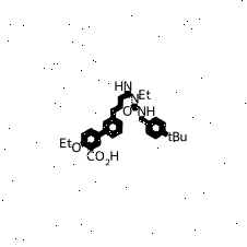 CCOc1ccc(-c2cccc(CCCC(=N)N(CC)C(=O)NCc3ccc(C(C)(C)C)cc3)c2)cc1C(=O)O